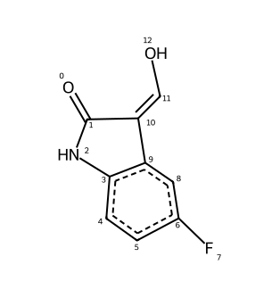 O=C1Nc2ccc(F)cc2C1=CO